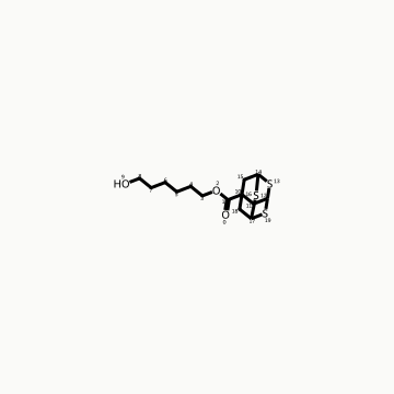 O=C(OCCCCCCO)C12CC3SC(C1)SC(C2)S3